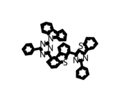 c1ccc(-c2nc(-c3cccc4sc5c(-c6nc(-c7ccccc7)nc7c6sc6ccccc67)cccc5c34)nc(-n3c4ccccc4c4ccccc43)n2)cc1